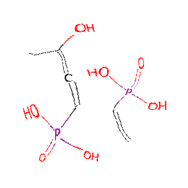 C=CP(=O)(O)O.CC(O)=C=CP(=O)(O)O